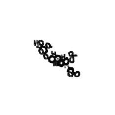 CO[C@H]1C[C@@H](O[C@H]2CC[C@@]3(C)[C@H](CC[C@@H]4[C@@H]3CC[C@]3(C)[C@@H](C5=CC(=O)OC5)[C@@H](OC(C)=O)CC43O)C2)O[C@@H](C)[C@@H]1O